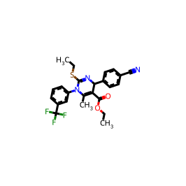 CCOC(=O)C1=C(C)N(c2cccc(C(F)(F)F)c2)C(SCC)=NC1c1ccc(C#N)cc1